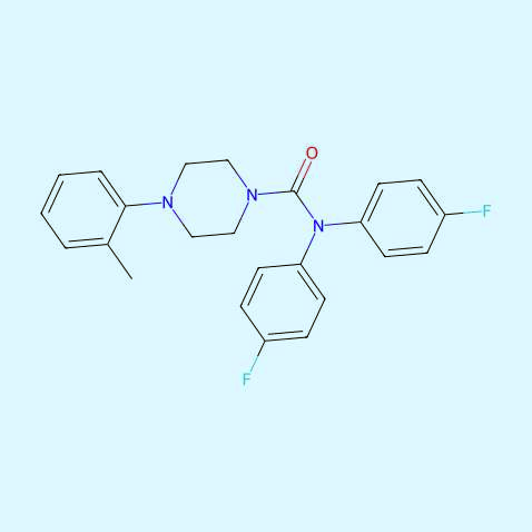 Cc1ccccc1N1CCN(C(=O)N(c2ccc(F)cc2)c2ccc(F)cc2)CC1